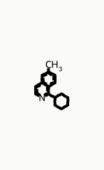 Cc1ccc2c(C3CCCCC3)nccc2c1